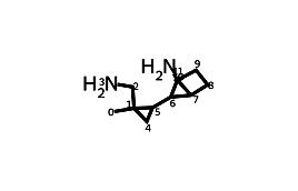 CC1(CN)CC1C1C2CCC21N